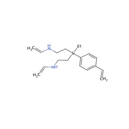 C=CNCC[Si](CC)(CCNC=C)c1ccc(C=C)cc1